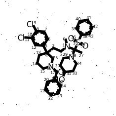 CN(CCC1(c2ccc(Cl)c(Cl)c2)CCCN(C(=O)c2ccccc2)C1)C(C)(N1CCC(O)CC1)S(=O)(=O)c1ccccc1